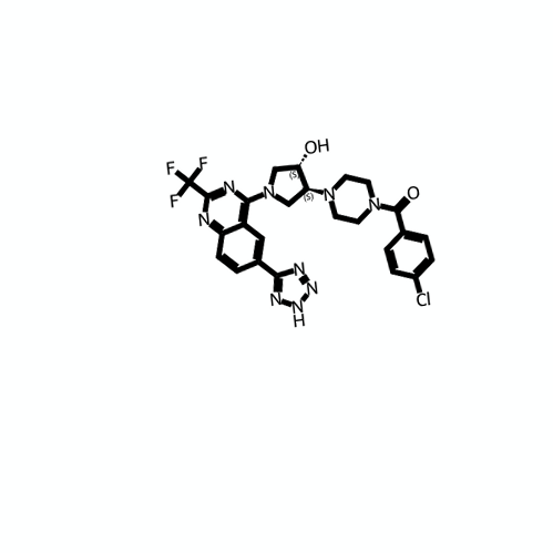 O=C(c1ccc(Cl)cc1)N1CCN([C@H]2CN(c3nc(C(F)(F)F)nc4ccc(-c5nn[nH]n5)cc34)C[C@@H]2O)CC1